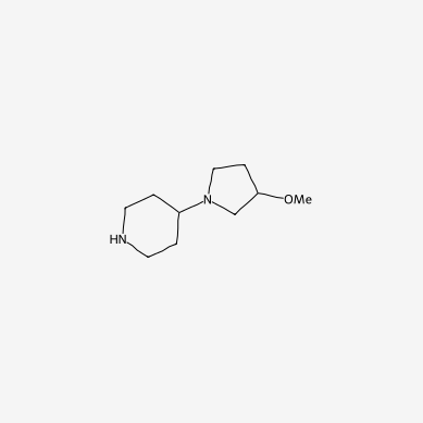 COC1CCN(C2CCNCC2)C1